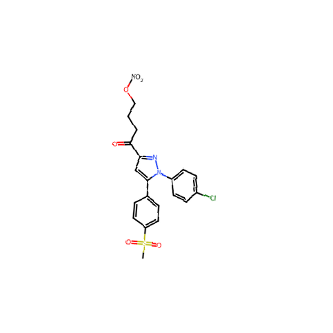 CS(=O)(=O)c1ccc(-c2cc(C(=O)CCCO[N+](=O)[O-])nn2-c2ccc(Cl)cc2)cc1